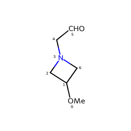 COC1CN(CC=O)C1